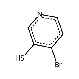 Sc1cnccc1Br